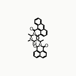 CCC(NC(C)N1C(=O)c2cccc3cccc(c23)C1=O)N(C)C(C)N1C(=O)c2cccc3cc4ccccc4c(c23)C1=O